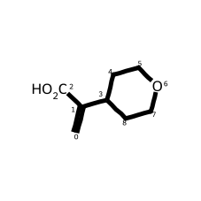 C=C(C(=O)O)C1CCOCC1